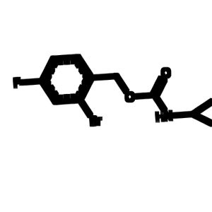 O=C(NC1CC1)OCc1ccc(F)cc1Br